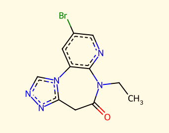 CCN1C(=O)Cc2nncn2-c2cc(Br)cnc21